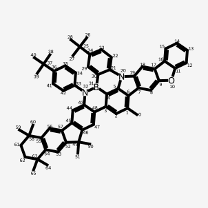 Cc1cc2c3c4c1c1cc5oc6ccccc6c5cc1n4-c1ccc(C(C)(C)C)cc1B3N(c1ccc(C(C)(C)C)cc1)c1cc3c(cc1-2)C(C)(C)c1cc2c(cc1-3)C(C)(C)CCC2(C)C